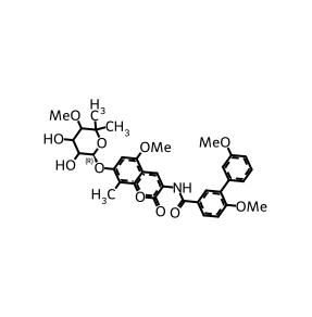 COc1cccc(-c2cc(C(=O)Nc3cc4c(OC)cc(O[C@@H]5OC(C)(C)C(OC)C(O)C5O)c(C)c4oc3=O)ccc2OC)c1